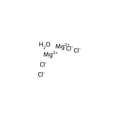 O.[Cl-].[Cl-].[Cl-].[Cl-].[Mg+2].[Mg+2]